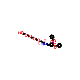 O=C(CCC(=O)OCCOCCOCCOCCO)NCCC1=CC(I)(OC(=O)c2ccccc2)C(OC(=O)c2ccccc2)C=C1